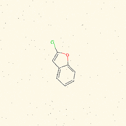 Clc1cc2ccccc2o1